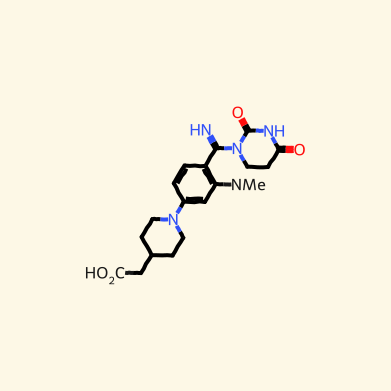 CNc1cc(N2CCC(CC(=O)O)CC2)ccc1C(=N)N1CCC(=O)NC1=O